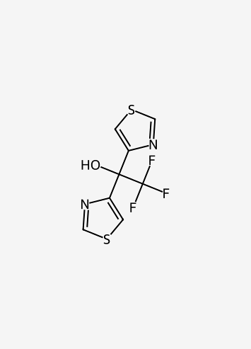 OC(c1cscn1)(c1cscn1)C(F)(F)F